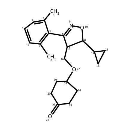 Cc1cccc(C)c1C1=NOC(C2CC2)C1COC1CCC(=O)CC1